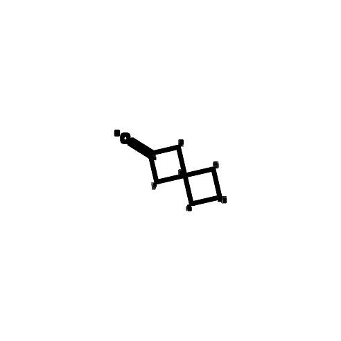 O=C1CC2(C[CH]C2)C1